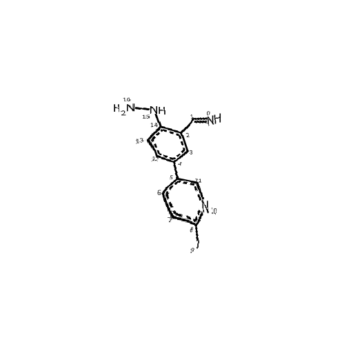 N=Cc1cc(-c2ccc(I)nc2)ccc1NN